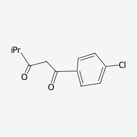 CC(C)C(=O)CC(=O)c1ccc(Cl)cc1